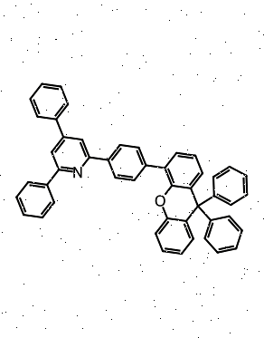 c1ccc(-c2cc(-c3ccccc3)nc(-c3ccc(-c4cccc5c4Oc4ccccc4C5(c4ccccc4)c4ccccc4)cc3)c2)cc1